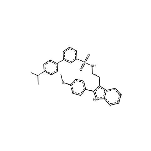 COc1ccc(-c2[nH]c3ccccc3c2CCNS(=O)(=O)c2cccc(-c3ccc(C(C)C)cc3)c2)cc1